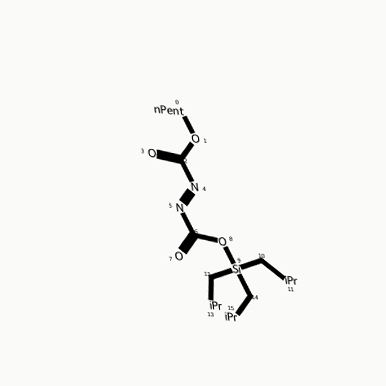 CCCCCOC(=O)N=NC(=O)O[Si](CC(C)C)(CC(C)C)CC(C)C